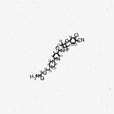 CC1(C)[C@H](NC(=O)c2ccc(N3CCN(CCOCC(N)=O)CC3)nc2)C(C)(C)[C@H]1Oc1ccc(C#N)c(Cl)c1